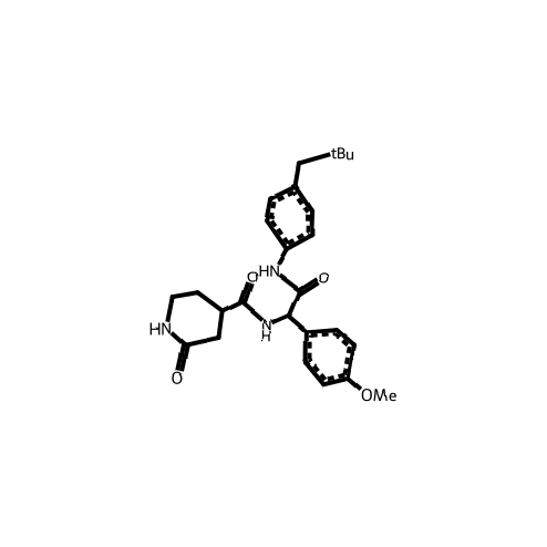 COc1ccc(C(NC(=O)C2CCNC(=O)C2)C(=O)Nc2ccc(CC(C)(C)C)cc2)cc1